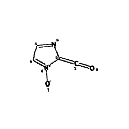 O=C=C1N=CC=[N+]1[O-]